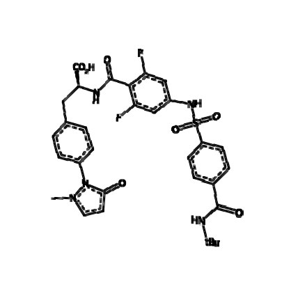 Cn1ccc(=O)n1-c1ccc(C[C@H](NC(=O)c2c(F)cc(NS(=O)(=O)c3ccc(C(=O)NC(C)(C)C)cc3)cc2F)C(=O)O)cc1